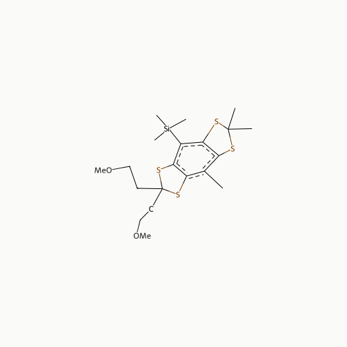 COCCC1(CCOC)Sc2c(C)c3c(c([Si](C)(C)C)c2S1)SC(C)(C)S3